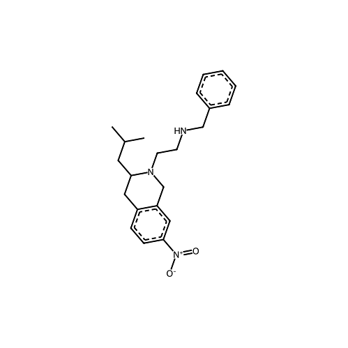 CC(C)CC1Cc2ccc([N+](=O)[O-])cc2CN1CCNCc1ccccc1